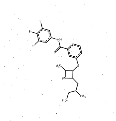 CCC(C)CC1NC(C)C1Sc1cccc(C(=O)Nc2cc(F)c(F)c(F)c2)c1